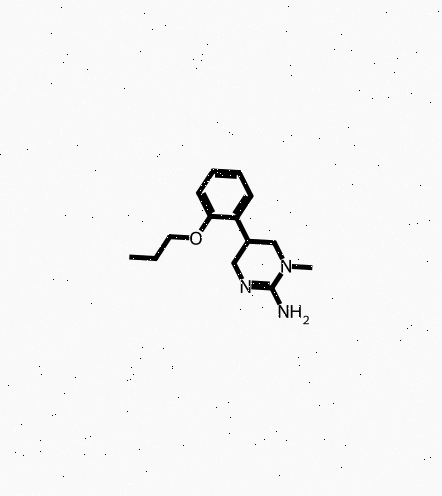 CCCOc1ccccc1C1CN=C(N)N(C)C1